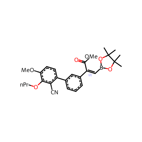 CCCOc1c(OC)ccc(-c2cccc(/C(=C/B3OC(C)(C)C(C)(C)O3)C(=O)OC)c2)c1C#N